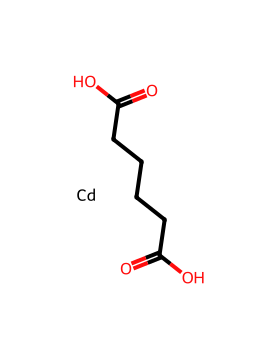 O=C(O)CCCCC(=O)O.[Cd]